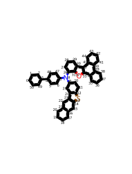 c1ccc(-c2ccc(N(c3ccc4sc5cc6ccccc6cc5c4c3)c3cccc4c3oc3c5ccccc5c5ccccc5c43)cc2)cc1